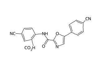 N#Cc1ccc(-c2cnc(C(=O)Nc3ccc(C#N)cc3C(=O)O)o2)cc1